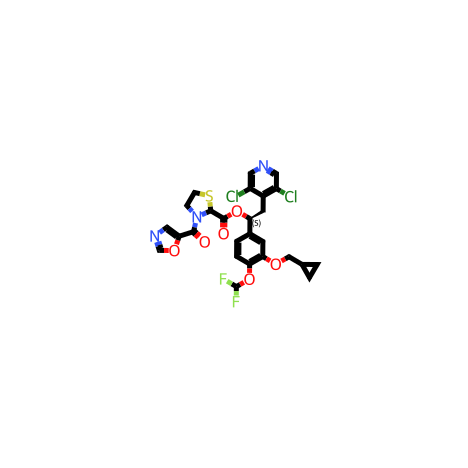 O=C(O[C@@H](Cc1c(Cl)cncc1Cl)c1ccc(OC(F)F)c(OCC2CC2)c1)C1SCCN1C(=O)c1cnco1